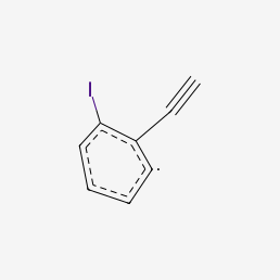 C#Cc1[c]cccc1I